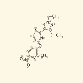 CCc1nn(CC)cc1-c1nccc(Oc2ccc([N+](=O)[O-])nc2C)n1